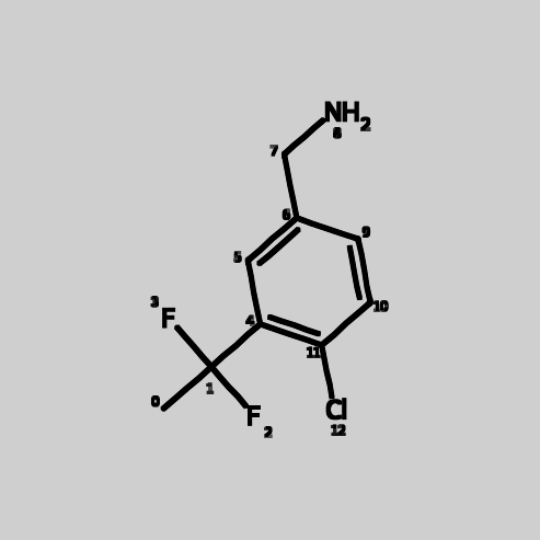 CC(F)(F)c1cc(CN)ccc1Cl